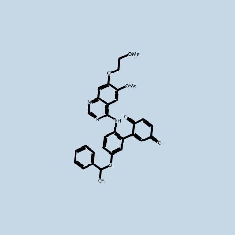 COCCOc1cc2ncnc(Nc3ccc(OC(c4ccccc4)C(F)(F)F)cc3C3=CC(=O)C=CC3=O)c2cc1OC